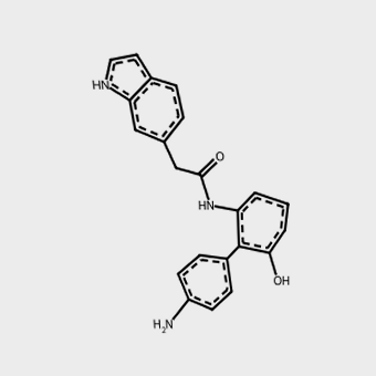 Nc1ccc(-c2c(O)cccc2NC(=O)Cc2ccc3cc[nH]c3c2)cc1